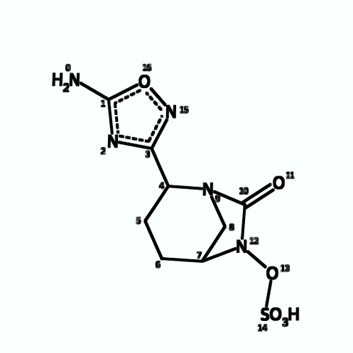 Nc1nc(C2CCC3CN2C(=O)N3OS(=O)(=O)O)no1